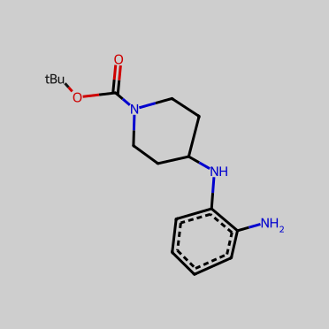 CC(C)(C)OC(=O)N1CCC(Nc2ccccc2N)CC1